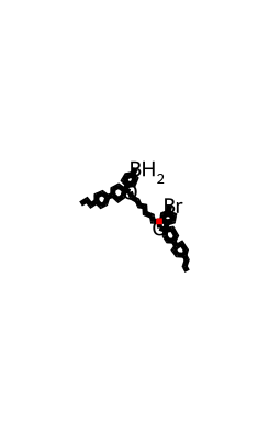 Bc1ccc(C2(OCCCCCCCCOC3(c4ccc(Br)cc4)CCC(C4CCC(CCC)CC4)CC3)CCC(C3CCC(CCC)CC3)CC2)cc1